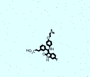 CN(C)CCOc1ccc(NC(=C2C(=O)Nc3cc(F)ccc32)c2cccc(CCC(=O)O)c2)cc1